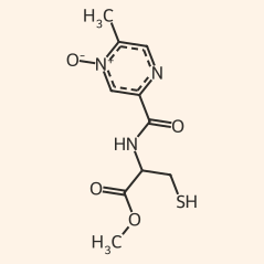 COC(=O)C(CS)NC(=O)c1c[n+]([O-])c(C)cn1